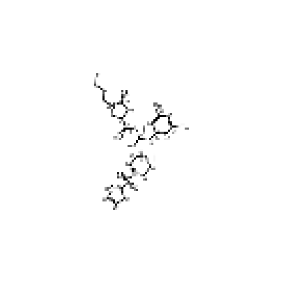 CCCCN1CC(C(=O)NC(Cc2cc(F)cc(F)c2)C[C@H]2CN(S(=O)(=O)C3CC=CS3)CCN2)CC1=O